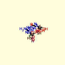 Nc1nc2c(ncn2[C@@H]2S[C@H](CO)[C@@H](O)[C@H]2OP(=O)(S)OC[C@H]2O[C@@H](n3cnc4c(N)ncnc43)[C@@H](F)[C@@H]2O[PH](=O)S)c(=O)[nH]1